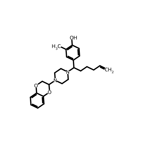 C=CCCCC(c1ccc(O)c(C)c1)N1CCN(C2COc3ccccc3O2)CC1